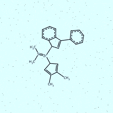 CC1=C[CH]([Zr]([CH]2C=C(c3ccccc3)c3ccccc32)=[Si](C)C)C=C1C